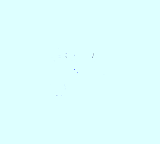 CCOC(=O)[C@@H](N=C(c1ccccc1)c1ccccc1)[C@H]1CCCCC(=O)C1